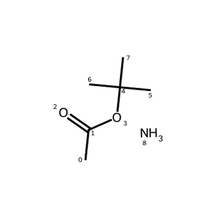 CC(=O)OC(C)(C)C.N